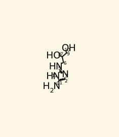 Nc1cnc(NCC(O)CO)[nH]1